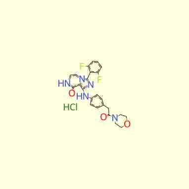 Cl.O=C(Cc1ccc(Nc2nc(-c3c(F)cccc3F)n3cc[nH]c(=O)c23)cc1)N1CCOCC1